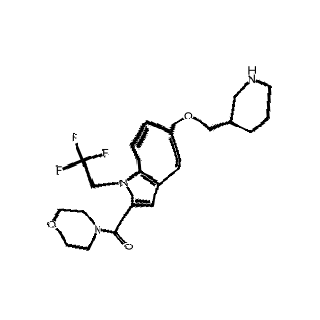 O=C(c1cc2cc(OCC3CCCNC3)ccc2n1CC(F)(F)F)N1CCOCC1